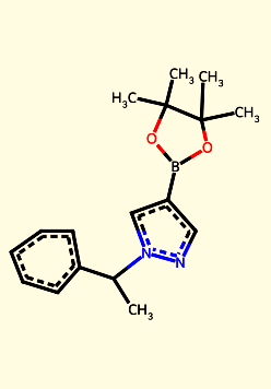 CC(c1ccccc1)n1cc(B2OC(C)(C)C(C)(C)O2)cn1